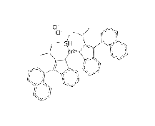 CC(C)C1=C(c2cccc3ccccc23)c2ccccc2[CH]1[Zr+2]([CH]1C(C(C)C)=C(c2cccc3ccccc23)c2ccccc21)[SiH](C)C.[Cl-].[Cl-]